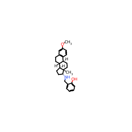 COc1ccc2c(c1)CC[C@@H]1[C@@H]2CC[C@]2(C)[C@H](NCc3ccccc3O)CC[C@@H]12